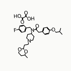 CC(C)COc1ccc(CC(=O)N(Cc2ccc(F)cc2)C2CCN(CCC3OCCC(C)O3)CC2)cc1.O=C(O)C(=O)O